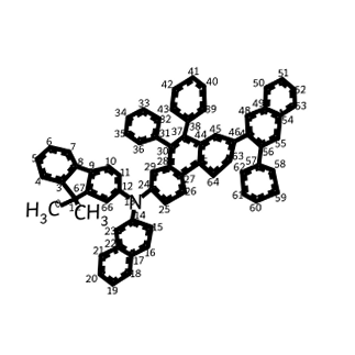 CC1(C)c2ccccc2-c2ccc(N(c3ccc4ccccc4c3)c3ccc4c(c3)c(-c3ccccc3)c(-c3ccccc3)c3cc(-c5cc6ccccc6cc5-c5ccccc5)ccc34)cc21